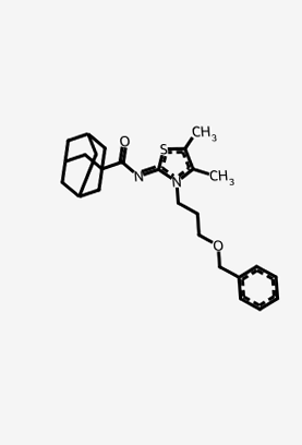 Cc1sc(=NC(=O)C23CC4CC(CC(C4)C2)C3)n(CCCOCc2ccccc2)c1C